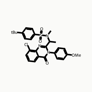 COc1ccc(-n2c(C(C)N(C)S(=O)(=O)c3ccc(C(C)(C)C)cc3)nc3c(Cl)cccc3c2=O)cc1